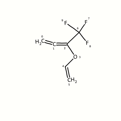 C=C=C(OC=C)C(F)(F)F